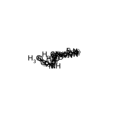 COCCOc1ccc(-c2n[nH]c3ccc(NC(=O)[C@]4(OC)CCN(CC(=O)N5CC=C(c6ncc(-c7ncccn7)cc6F)CC5)C4)cc23)cc1